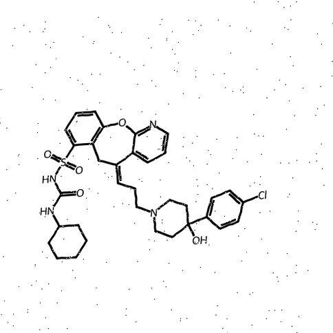 O=C(NC1CCCCC1)NS(=O)(=O)c1cccc2c1C/C(=C/CCN1CCC(O)(c3ccc(Cl)cc3)CC1)c1cccnc1O2